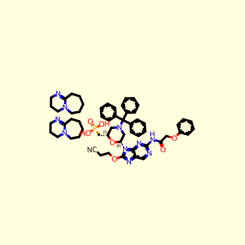 C1CCC2=NCCCN2CC1.C1CCC2=NCCCN2CC1.N#CCCOc1nc2cnc(NC(=O)COc3ccccc3)nc2n1[C@H]1CN(C(c2ccccc2)(c2ccccc2)c2ccccc2)C[C@@H](CP(=O)(O)O)O1